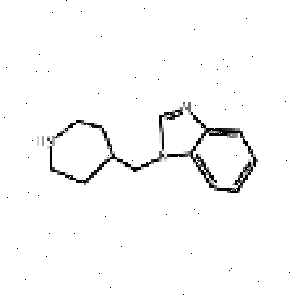 c1ccc2c(c1)ncn2CC1CCNCC1